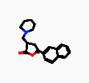 O=C1O[C@H](c2ccc3ccccc3c2)CC1CN1CCCCC1